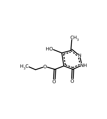 CCOC(=O)c1c(O)c(C)n[nH]c1=O